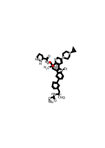 CCn1c(-c2cc(N3CCN(C4CC4)CC3)cnc2[C@H](C)OC)c(CC(C)(C)COC(=O)C2CCCNN2)c2cc(-c3cccc(C[C@@H](C=O)NC(=O)OC(C)(C)C)c3)ccc21